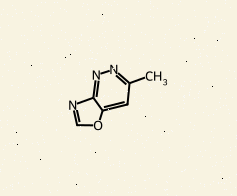 Cc1cc2ocnc2nn1